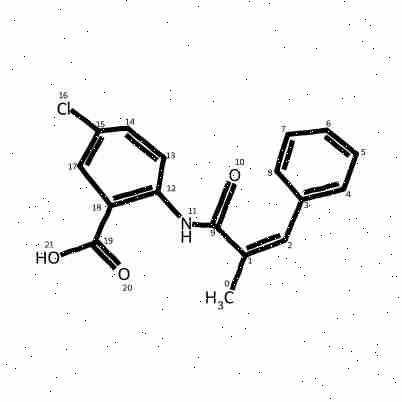 CC(=Cc1ccccc1)C(=O)Nc1ccc(Cl)cc1C(=O)O